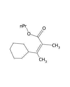 CCCOC(=O)C(C)=C(C)C1CCCCC1